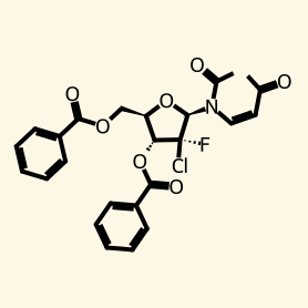 CC(=O)/C=C\N(C(C)=O)[C@@H]1O[C@H](COC(=O)c2ccccc2)[C@@H](OC(=O)c2ccccc2)[C@]1(F)Cl